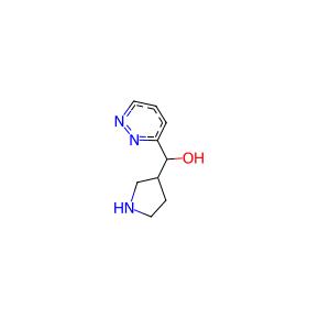 OC(c1cccnn1)C1CCNC1